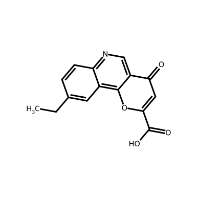 CCc1ccc2ncc3c(=O)cc(C(=O)O)oc3c2c1